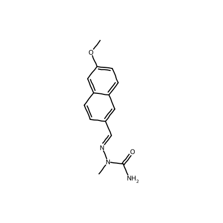 COc1ccc2cc(C=NN(C)C(N)=O)ccc2c1